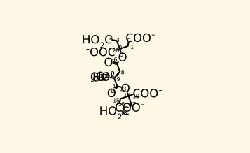 O=C([O-])CC(CC(=O)O)(OC(=O)CC(O)C(=O)OC(CC(=O)[O-])(CC(=O)O)C(=O)[O-])C(=O)[O-].[Ca+2].[Ca+2]